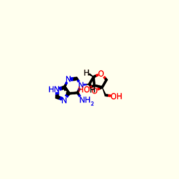 NC1c2nc[nH]c2N=CN1[C@@H]1O[C@@]2(CO)CO[C@@H]1[C@@H]2O